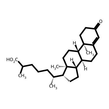 CC(CCC[C@@H](C)[C@H]1CC[C@H]2[C@@H]3CCC4=CC(=O)CC[C@]4(C)[C@H]3CC[C@]12C)C(=O)O